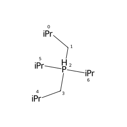 CC(C)C[PH](CC(C)C)(C(C)C)C(C)C